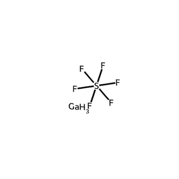 FS(F)(F)(F)(F)F.[GaH3]